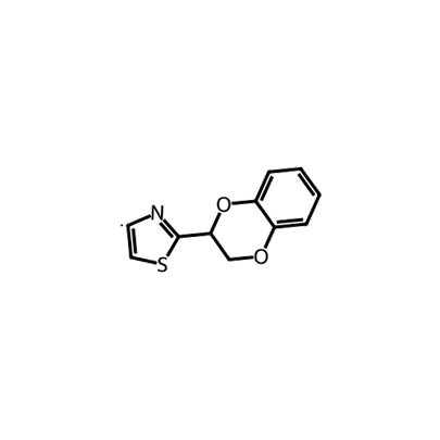 [c]1csc(C2COc3ccccc3O2)n1